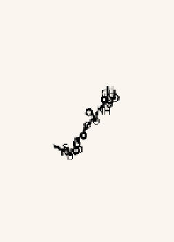 CCCCc1nc(C(=O)N2CCOC3(CCN(Cc4cccc(CCOCCC(=O)N(CCNCCc5ccc(O)c6c5OCC(=O)N6)C5CCCCC5)c4)CC3)C2)cs1